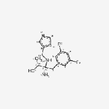 C[C@@H](O)[C@](N)(Cc1cc(F)cc(F)c1)NCc1cncs1